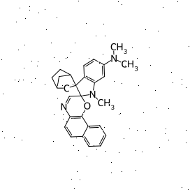 CN(C)c1ccc2c(c1)N(C)C1(C=Nc3ccc4ccccc4c3O1)C21CC2CCC1C2